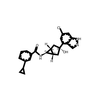 O=C(N[C@H]1[C@@H]2C[C@@](O)(c3cc(Cl)cc4[nH]ncc34)C[C@@H]21)c1cccc(C2CC2)c1